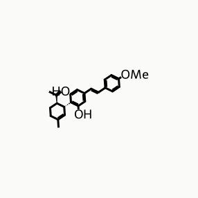 C=C(C)[C@@H]1CCC(C)=C[C@H]1c1c(O)cc(C=Cc2ccc(OC)cc2)cc1O